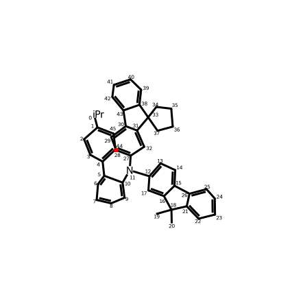 CC(C)c1ccc(-c2ccccc2N(c2ccc3c(c2)C(C)(C)c2ccccc2-3)c2ccc3c(c2)C2(CCCC2)c2ccccc2-3)cc1